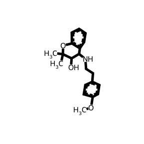 COc1ccc(CCNC2c3ccccc3OC(C)(C)C2O)cc1